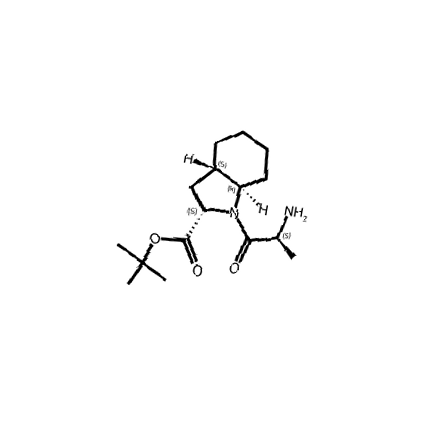 C[C@H](N)C(=O)N1[C@@H]2CCCC[C@H]2C[C@H]1C(=O)OC(C)(C)C